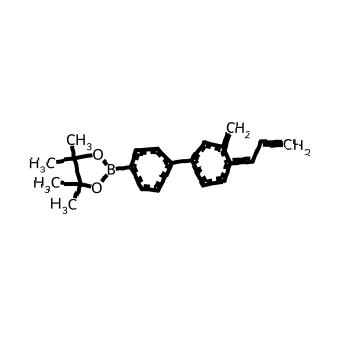 C=C/C=c1/ccc(-c2ccc(B3OC(C)(C)C(C)(C)O3)cc2)cc1=C